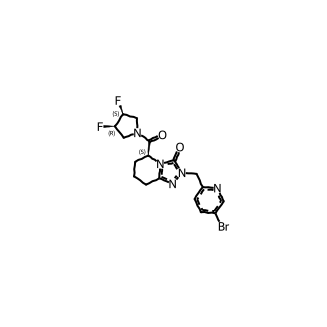 O=C([C@@H]1CCCc2nn(Cc3ccc(Br)cn3)c(=O)n21)N1C[C@@H](F)[C@@H](F)C1